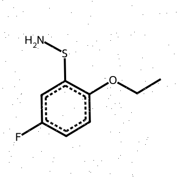 CCOc1ccc(F)cc1SN